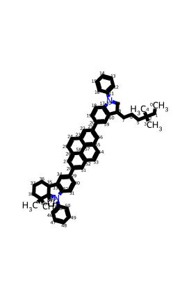 CCC(C)(C)CCCC1CN(c2ccccc2)c2ccc(-c3cc4ccc5cc(-c6ccc7c(c6)C6CCCC(C)(C)C6(C)N7c6ccccc6)cc6ccc(c3)c4c56)cc21